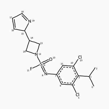 CC(C)c1c(Cl)cc(N=S(=O)(F)N2CC(C3C=CC=N3)C2)cc1Cl